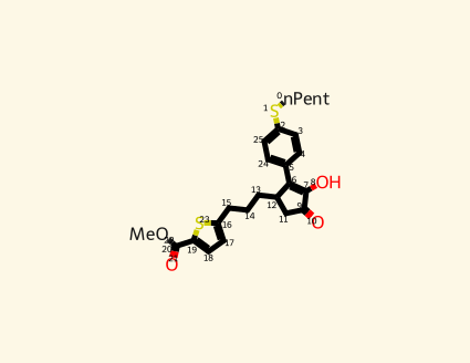 CCCCCSc1ccc(C2=C(O)C(=O)CC2CCCc2ccc(C(=O)OC)s2)cc1